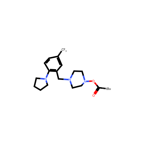 CC(C)(C)C(=O)ON1CCN(Cc2cc(C(F)(F)F)ccc2N2CCCC2)CC1